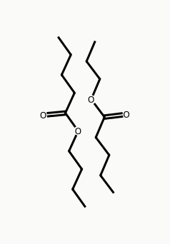 CCCCC(=O)OCCC.CCCCOC(=O)CCCC